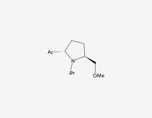 COC[C@@H]1CC[C@@H](C(C)=O)N1C(C)C